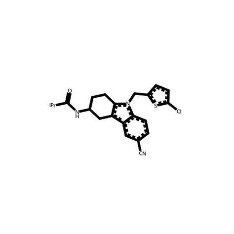 CC(C)C(=O)NC1CCc2c(c3cc(C#N)ccc3n2Cc2ccc(Cl)s2)C1